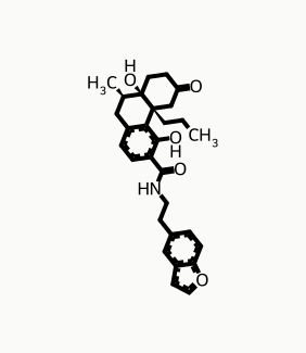 CCC[C@]12CC(=O)CC[C@@]1(O)[C@H](C)Cc1ccc(C(=O)NCCc3ccc4occc4c3)c(O)c12